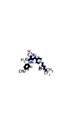 C=N/C(=C\C=C(/C)C(F)(F)F)CN1CCC(c2nnc(C)c3c(C)n(-c4ccc(OCC)cc4F)nc23)CC1